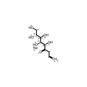 C=CCC(=O)[C@H](O)[C@@H](O)[C@H](O)[C@H](O)CO.[Na]